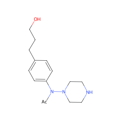 CC(=O)N(c1ccc(CCCO)cc1)N1CCNCC1